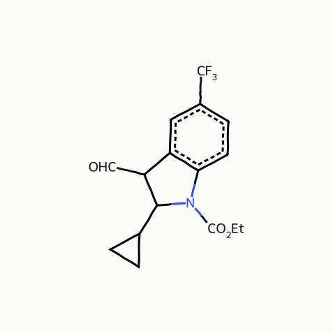 CCOC(=O)N1c2ccc(C(F)(F)F)cc2C(C=O)C1C1CC1